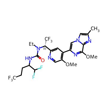 CCN(C(=O)NC(CCC(F)(F)F)C(F)F)[C@@H](c1cc(-c2cn3cc(C)nc3c(OC)n2)c(OC)cn1)C(F)(F)F